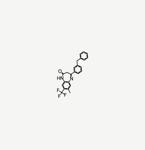 Cc1cc2c(cc1C(F)(F)F)NC(=O)CC(c1cccc(Cc3ccccc3)c1)=N2